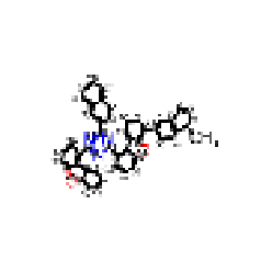 CC1CC=Cc2cc(-c3cccc4c3oc3cccc(-c5nc(-c6ccc7ccccc7c6)nc(-c6cccc7oc8ccccc8c67)n5)c34)ccc21